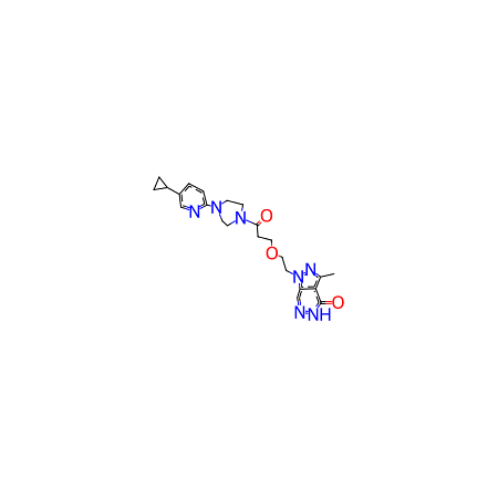 Cc1nn(CCOCCC(=O)N2CCN(c3ccc(C4CC4)cn3)CC2)c2cn[nH]c(=O)c12